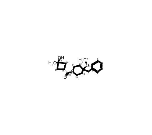 COC1(Cc2ccccc2)CCN(C(=O)[C@H]2C[C@@](C)(O)C2)CC1